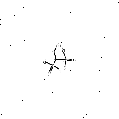 O=P(Cl)(Cl)C(CO)P(=O)(Cl)Cl